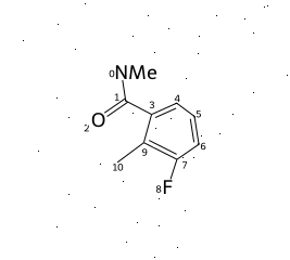 CNC(=O)c1cccc(F)c1C